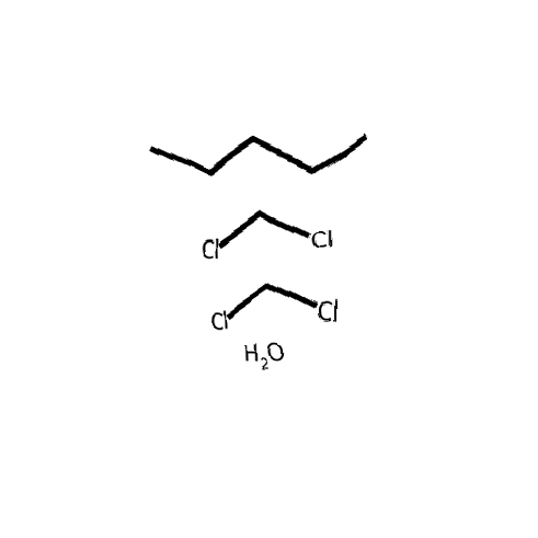 CCCCC.ClCCl.ClCCl.O